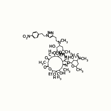 CC[C@H]1OC(=O)[C@H](C)C(=O)[C@H](C)[C@@H](O[C@@H]2O[C@H](C)C[C@H](N(C)CCc3cn(CCc4ccc([N+](=O)[O-])cc4)nn3)[C@H]2O)[C@](C)(OC)C[C@@H](C)/C(=N\O[C@@H]2O[C@H](C)C[C@H](N(C)C)[C@H]2O)[C@H](C)[C@@H](O)[C@]1(C)O